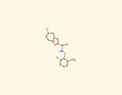 Cc1cccc(Cl)c1CNC(=O)c1cc2cc(Cl)ccc2o1